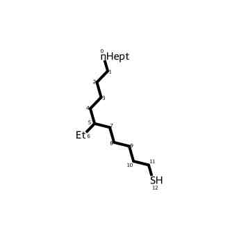 CCCCCCCCCCCC(CC)CCCCCS